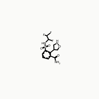 NC(=O)c1cccc(S(=O)(=O)NC(F)C(F)F)c1C1CNOC1